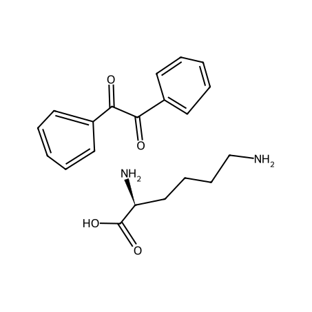 NCCCC[C@H](N)C(=O)O.O=C(C(=O)c1ccccc1)c1ccccc1